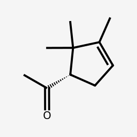 CC(=O)[C@H]1CC=C(C)C1(C)C